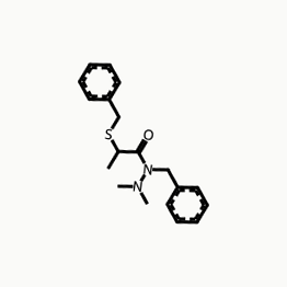 CC(SCc1ccccc1)C(=O)N(Cc1ccccc1)N(C)C